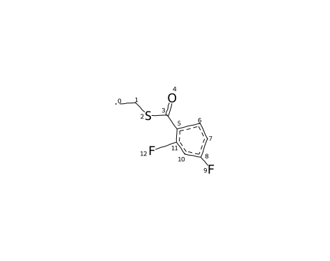 [CH2]CSC(=O)c1ccc(F)cc1F